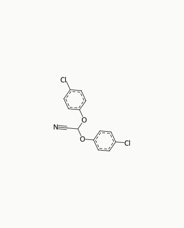 N#CC(Oc1ccc(Cl)cc1)Oc1ccc(Cl)cc1